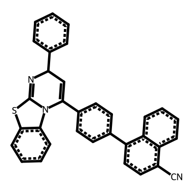 N#Cc1ccc(-c2ccc(C3=CC(c4ccccc4)N=C4Sc5ccccc5N34)cc2)c2ccccc12